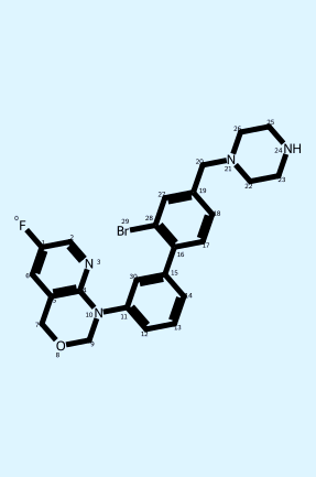 Fc1cnc2c(c1)COCN2c1cccc(-c2ccc(CN3CCNCC3)cc2Br)c1